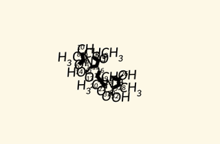 CO[C@@H]1CN(C(=O)C(C)(C)C)[C@H](C(=O)O)[C@H]1CCC(C)(C)C(=O)N1C[C@@H](O)C(C)[C@H]1C(=O)O